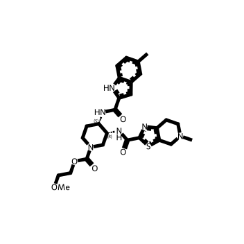 COCCOC(=O)N1CC[C@H](NC(=O)c2cc3cc(C)ccc3[nH]2)[C@H](NC(=O)c2nc3c(s2)CN(C)CC3)C1